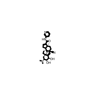 CN(C)[C@H]1C[C@@]23CC[C@]4(O2)C2CC=C(C(=O)Nc5cccnc5)[C@@]2(C)CCC4(C#N)C=C3[C@@H](O)[C@@H]1O